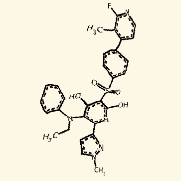 CCN(c1ccccc1)c1c(-c2ccn(C)n2)nc(O)c(S(=O)(=O)c2ccc(-c3ccnc(F)c3C)cc2)c1O